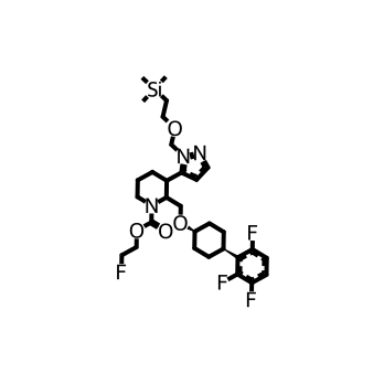 C[Si](C)(C)CCOCn1nccc1C1CCCN(C(=O)OCCF)C1CO[C@H]1CC[C@@H](c2c(F)ccc(F)c2F)CC1